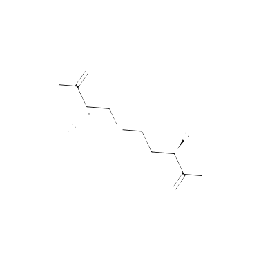 N[C@H](CCSC[C@H](N)C(=O)O)C(=O)O